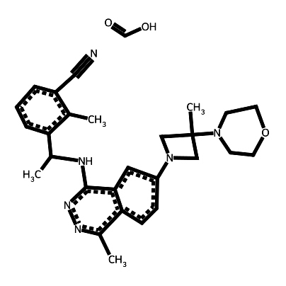 Cc1c(C#N)cccc1C(C)Nc1nnc(C)c2ccc(N3CC(C)(N4CCOCC4)C3)cc12.O=CO